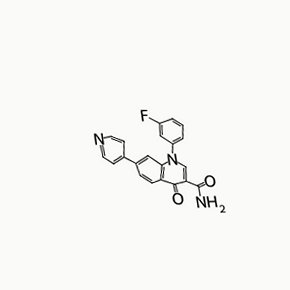 NC(=O)c1cn(-c2cccc(F)c2)c2cc(-c3ccncc3)ccc2c1=O